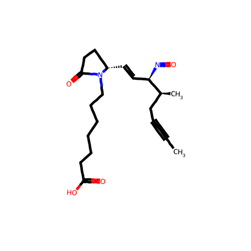 CC#CC[C@H](C)[C@@H](/C=C/[C@H]1CCC(=O)N1CCCCCCC(=O)O)N=O